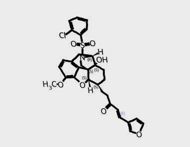 COc1ccc2c3c1O[C@H]1[C@H](CCC(=O)/C=C/c4ccoc4)CC[C@@]4(O)[C@@H](C2)N(S(=O)(=O)c2ccccc2Cl)CC[C@]314